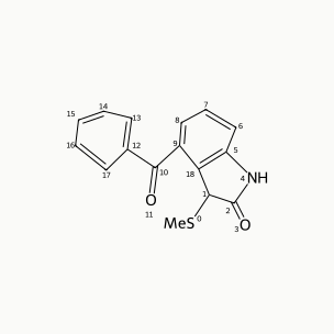 CSC1C(=O)Nc2cccc(C(=O)c3ccccc3)c21